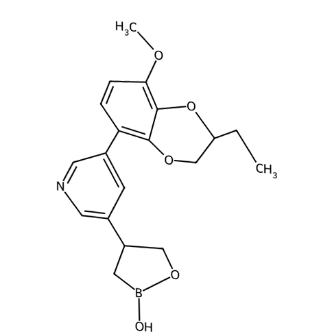 CCC1COc2c(-c3cncc(C4COB(O)C4)c3)ccc(OC)c2O1